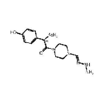 NNN=CN1CCN(C(=O)[C@H]([AsH2])c2ccc(O)cc2)CC1